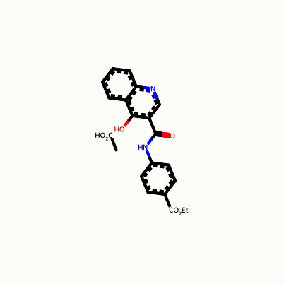 CC(=O)O.CCOC(=O)c1ccc(NC(=O)c2cnc3ccccc3c2O)cc1